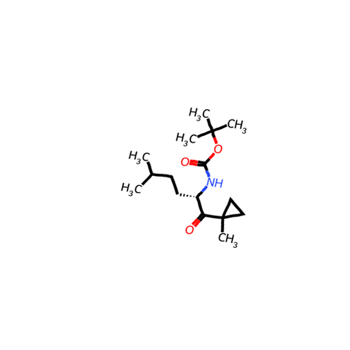 CC(C)CC[C@H](NC(=O)OC(C)(C)C)C(=O)C1(C)CC1